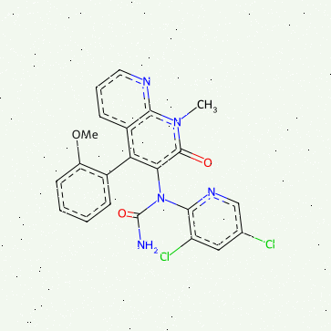 COc1ccccc1-c1c(N(C(N)=O)c2ncc(Cl)cc2Cl)c(=O)n(C)c2ncccc12